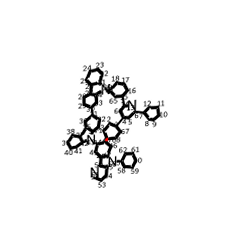 c1ccc(-c2cc(-c3ccccc3)nc(-c3cccc(-n4c5ccccc5c5ccc(-c6ccc7c(c6)c6ccccc6n7-c6ccc7c(c6)c6ncccc6n7-c6ccccc6)cc54)c3)c2)cc1